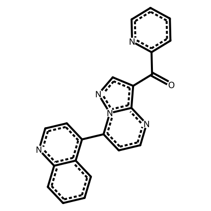 O=C(c1ccccn1)c1cnn2c(-c3ccnc4ccccc34)ccnc12